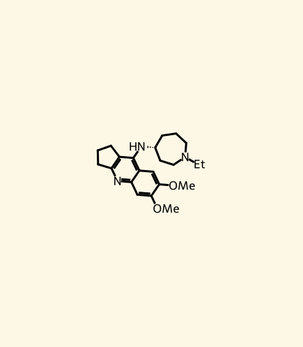 CCN1CCC[C@@H](Nc2c3c(nc4cc(OC)c(OC)cc24)CCC3)CC1